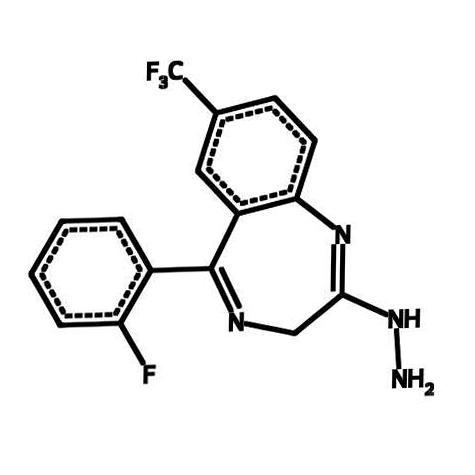 NNC1=Nc2ccc(C(F)(F)F)cc2C(c2ccccc2F)=NC1